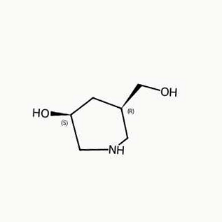 OC[C@H]1CNC[C@@H](O)C1